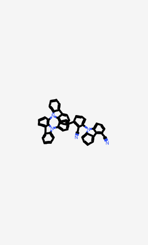 N#Cc1c(-c2ccc(-n3c4ccccc4c4cccc(-n5c6ccccc6c6ccccc65)c43)cc2)cccc1-n1c2ccccc2c2c(C#N)cccc21